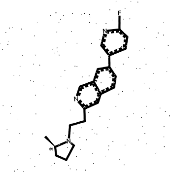 C[C@@H]1CCCN1CCc1cc2ccc(-c3ccc(F)nc3)cc2cn1